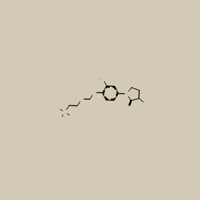 COc1cc(N2CCC(Br)C2=O)ccc1OCOCC[Si](C)(C)C